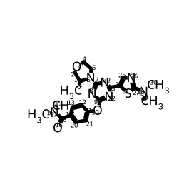 CC1COCCN1c1nc(Oc2ccc(C(=O)N(C)C)cc2)nc(-c2cnc(N(C)C)s2)n1